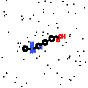 O=C(O)C[C@H]1CC[C@H](c2ccc(-c3ccc(-c4nnc(-c5ccccc5)[nH]4)cn3)cc2)CC1